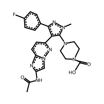 CC(=O)Nc1cn2nc(-c3c(-c4ccc(F)cc4)nn(C)c3N3CCN(C(=O)O)CC3)ccc2n1